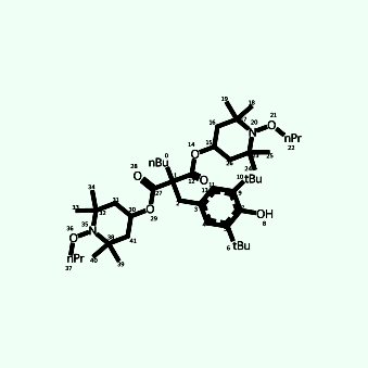 CCCCC(Cc1cc(C(C)(C)C)c(O)c(C(C)(C)C)c1)(C(=O)OC1CC(C)(C)N(OCCC)C(C)(C)C1)C(=O)OC1CC(C)(C)N(OCCC)C(C)(C)C1